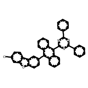 Clc1ccc2c(c1)oc1ccc(-c3c4ccccc4c(-c4nc(-c5ccccc5)nc(-c5ccccc5)n4)c4ccccc34)cc12